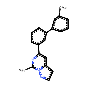 COc1cccc(-c2cccc(-c3cc4ccnn4c(SC)n3)c2)c1